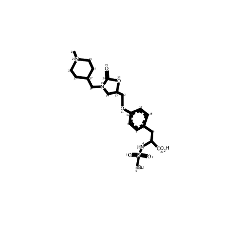 CCCCS(=O)(=O)NC(Cc1ccc(OCC2CN(CC3CCN(C)CC3)C(=O)O2)cc1)C(=O)O